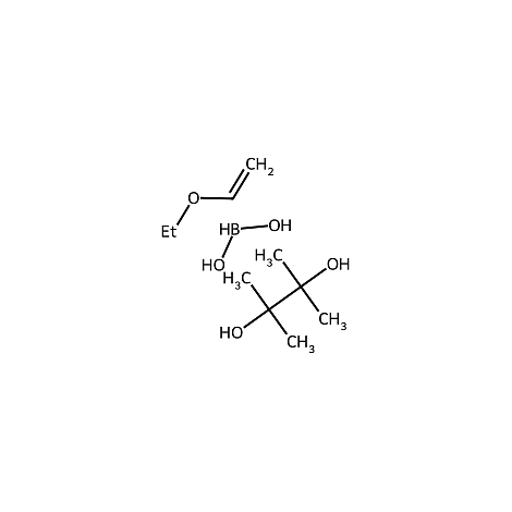 C=COCC.CC(C)(O)C(C)(C)O.OBO